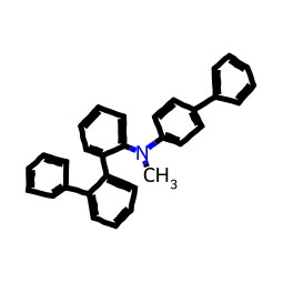 CN(c1ccc(-c2ccccc2)cc1)c1ccccc1-c1ccccc1-c1ccccc1